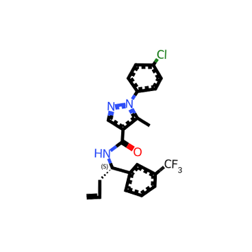 C=CC[C@H](NC(=O)c1cnn(-c2ccc(Cl)cc2)c1C)c1cccc(C(F)(F)F)c1